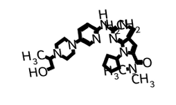 C=C(/N=C1\C(=C/N)C=C(C(=O)N(C)C)N1C1CCCC1)Nc1ccc(N2CCN(C(C)CO)CC2)cn1